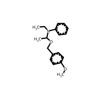 CCN(c1ccccc1)C(C)OCc1ccc(OC)cc1